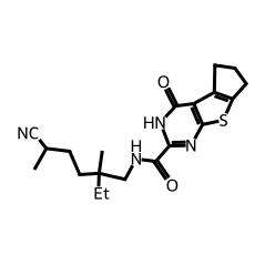 CCC(C)(CCC(C)C#N)CNC(=O)c1nc2sc3c(c2c(=O)[nH]1)CCC3